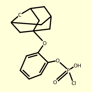 O=P(O)(Cl)Oc1ccccc1OC12CC3CC(CC(C3)C1)C2